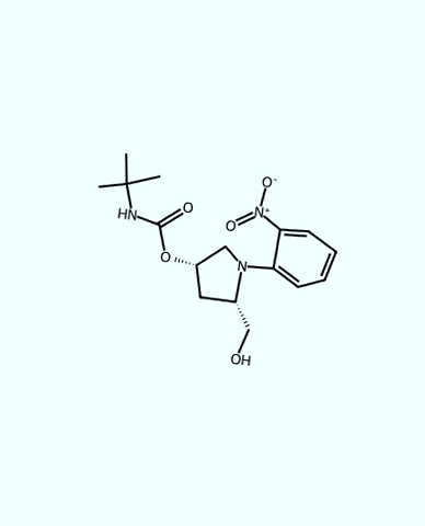 CC(C)(C)NC(=O)O[C@H]1C[C@@H](CO)N(c2ccccc2[N+](=O)[O-])C1